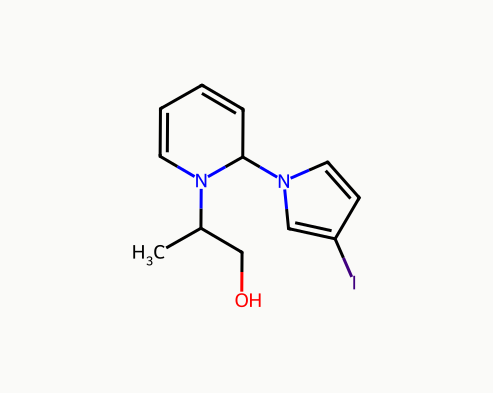 CC(CO)N1C=CC=CC1n1ccc(I)c1